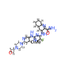 COc1cc(N2CCN(C3COC3)CC2)ncc1Nc1ncc(F)c(Nc2cc3ccccc3nc2C(N)=O)n1